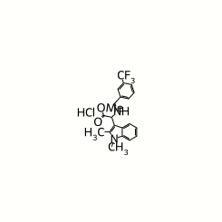 COC(=O)C(NCc1cccc(C(F)(F)F)c1)c1c(C)n(C)c2ccccc12.Cl